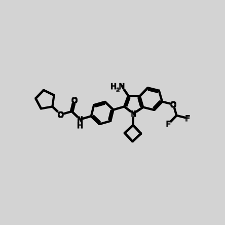 Nc1c(-c2ccc(NC(=O)OC3CCCC3)cc2)n(C2CCC2)c2cc(OC(F)F)ccc12